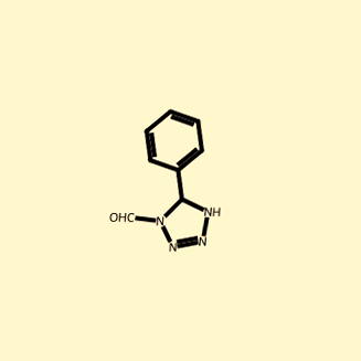 O=CN1N=NNC1c1ccccc1